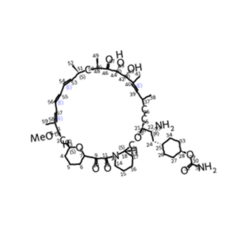 CO[C@H]1C[C@@H]2CCCC(O2)C(=O)C(=O)N2CCCC[C@H]2CO[C@H]([C@H](N)C[C@H]2CC[C@H](OC(N)=O)CC2)CCC(C)/C=C(\C)[C@@H](O)[C@@H](O)C(=O)[C@H](C)C[C@H](C)/C=C/C=C/C=C/1C